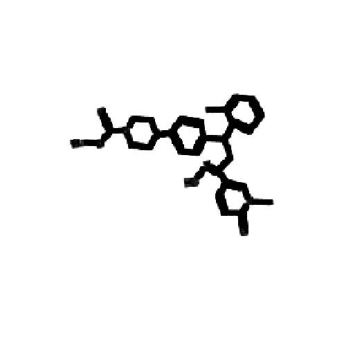 Cc1ccccc1C(CC(=NO)c1ccc(=O)n(C)c1)c1ccc(C2CCN(C(=O)OC(C)(C)C)CC2)cc1